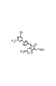 NC(=O)CN1C(=O)N(CCO)C(=O)/C1=C/n1cnc(-c2cc(C3CC3)nc(C(F)(F)F)c2)n1